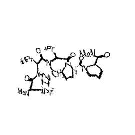 CNC(=O)C1CCCN1C(=O)[C@@H]1CCCN1C(=O)C(C(C)C)N(C)C(=O)C(C(C)C)N(N)C(=O)C(NC)C(C)C